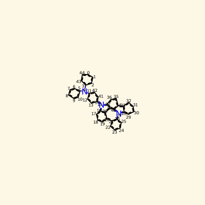 c1ccc(N(c2ccccc2)c2ccc(-n3c4cccc5c6ccccc6n6c7ccccc7c7ccc3c(c54)c76)cc2)cc1